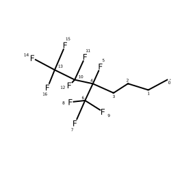 [CH2]CCCC(F)(C(F)(F)F)C(F)(F)C(F)(F)F